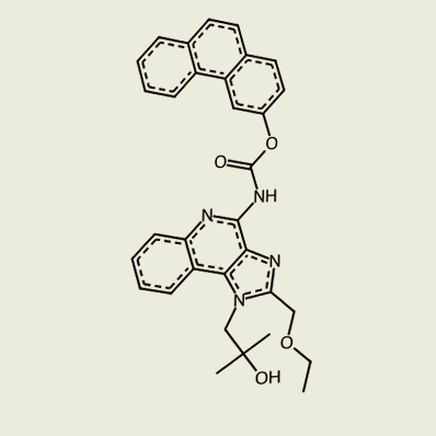 CCOCc1nc2c(NC(=O)Oc3ccc4ccc5ccccc5c4c3)nc3ccccc3c2n1CC(C)(C)O